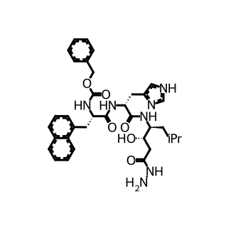 CC(C)C[C@H](NC(=O)[C@@H](Cc1c[nH]cn1)NC(=O)[C@H](Cc1cccc2ccccc12)NC(=O)OCc1ccccc1)[C@@H](O)CC(=O)NN